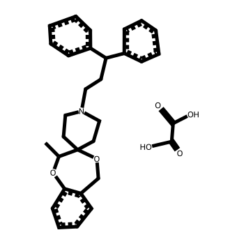 CC1Oc2ccccc2COC12CCN(CCC(c1ccccc1)c1ccccc1)CC2.O=C(O)C(=O)O